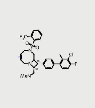 CNC[C@@H]1[C@@H](c2ccc(-c3ccc(F)c(Cl)c3C)cc2)C2CN(S(=O)(=O)c3ccccc3C(F)(F)F)C/C=C\CN21